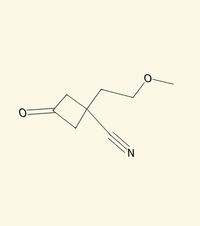 COCCC1(C#N)CC(=O)C1